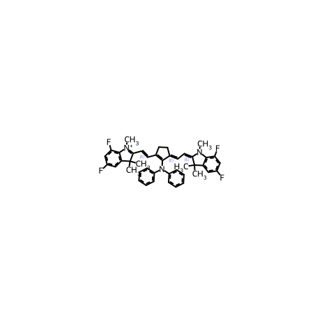 CN1/C(=C/C=C2\CCC(/C=C/C3=[N+](C)c4c(F)cc(F)cc4C3(C)C)=C2N(c2ccccc2)c2ccccc2)C(C)(C)c2cc(F)cc(F)c21